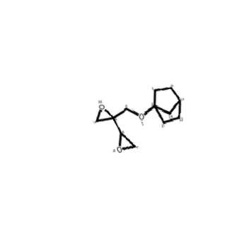 C1CC2(OCC3(C4CO4)CO3)CCC1C2